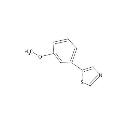 COc1cccc(-c2cn[c]s2)c1